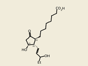 CCC(O)C=C[C@H]1[C@H](CCCCCCCC(=O)O)C(=O)C[C@@H]1O